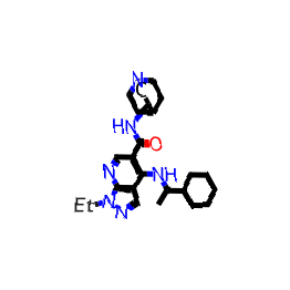 CCn1ncc2c(NC(C)C3CCCCC3)c(C(=O)NC3CN4CCC3CC4)cnc21